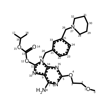 COCCOc1nc(N)c2nc(OC(=O)OC(C)C)n(Cc3cccc(CN4CCCCC4)c3)c2n1